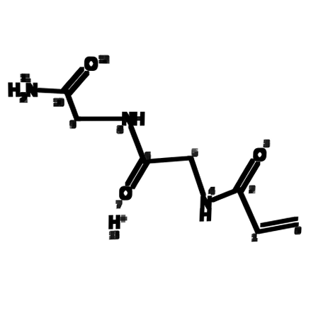 C=CC(=O)NCC(=O)NCC(N)=O.[H+]